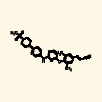 Cc1cc(/C=C/C#N)cc(C)c1Oc1ccnc(Nc2ccc(N3CCN(S(C)(=O)=O)CC3)nc2)n1